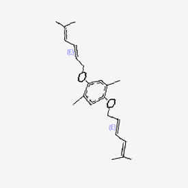 CC(C)=C/C=C/COc1cc(C)c(OC/C=C/C=C(C)C)cc1C